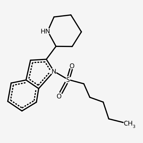 CCCCCS(=O)(=O)n1c(C2CCCCN2)cc2ccccc21